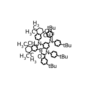 CC(C)(C)c1ccc(N(c2ccc(C(C)(C)C)cc2)c2cc3c4c(c2)N(c2ccc(C(C)(C)C)cc2)c2c(oc5ccc(C(C)(C)C)cc25)B4c2cc4c(cc2N3c2ccc3c(c2)C(C)(C)CCC3(C)C)C(C)(C)CCC4(C)C)cc1